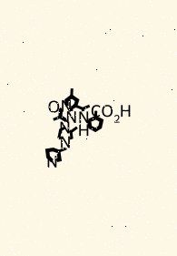 Cc1cc(C(C)Nc2ccccc2C(=O)O)c2nc(N3CCN(Cc4cccnc4)CC3C)c(C)c(=O)n2c1